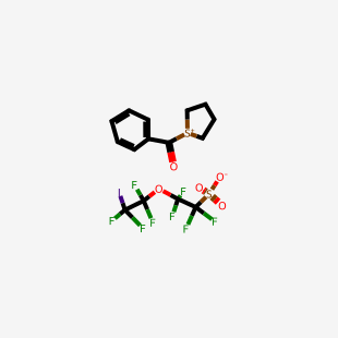 O=C(c1ccccc1)[S+]1CCCC1.O=S(=O)([O-])C(F)(F)C(F)(F)OC(F)(F)C(F)(F)I